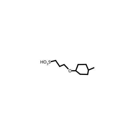 CC1CCC(OCCCS(=O)(=O)O)CC1